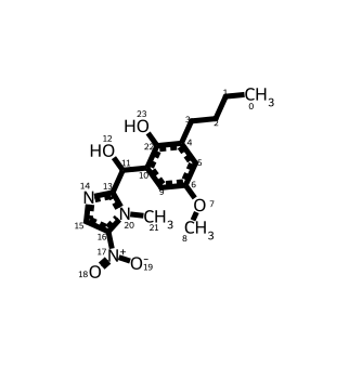 CCCCc1cc(OC)cc(C(O)c2ncc([N+](=O)[O-])n2C)c1O